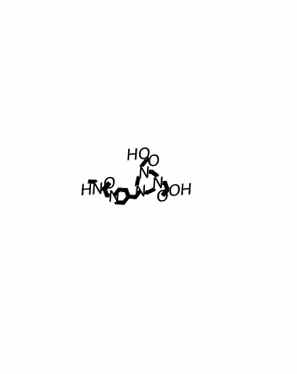 CCNC(=O)CN1CCC(CN2CCN(CC(=O)O)CCN(CC(=O)O)CC2)CC1